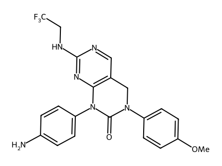 COc1ccc(N2Cc3cnc(NCC(F)(F)F)nc3N(c3ccc(N)cc3)C2=O)cc1